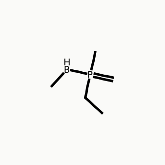 C=P(C)(BC)CC